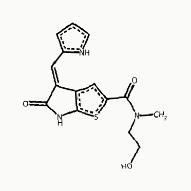 CN(CCO)C(=O)c1cc2c(s1)NC(=O)C2=Cc1ccc[nH]1